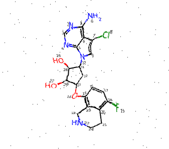 Nc1ncnc2c1c(Cl)cn2C1CC(Oc2ccc(F)c3c2CNCC3)[C@@H](O)[C@H]1O